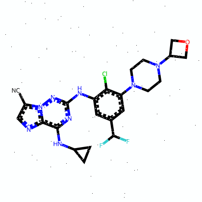 N#Cc1cnc2c(NC3CC3)nc(Nc3cc(C(F)F)cc(N4CCN(C5COC5)CC4)c3Cl)nn12